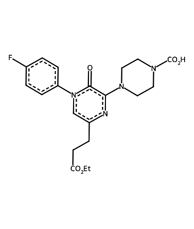 CCOC(=O)CCc1cn(-c2ccc(F)cc2)c(=O)c(N2CCN(C(=O)O)CC2)n1